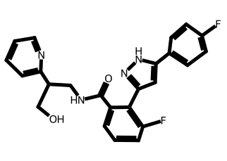 O=C(NCC(CO)c1ccccn1)c1cccc(F)c1-c1cc(-c2ccc(F)cc2)[nH]n1